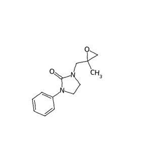 CC1(CN2CCN(c3ccccc3)C2=O)CO1